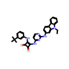 CCn1c2ccccc2c2ccc(Nc3nccc(Nc4c(Nc5cccc(C(C)(C)C)c5)c(=O)c4=O)n3)cc21